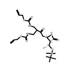 C=CCOC(=O)NCC(CNC(=O)OCC=C)C(=O)C[C@H]1NC(=O)[C@@H]1[C@@H](C)O[Si](C)(C)C(C)(C)C